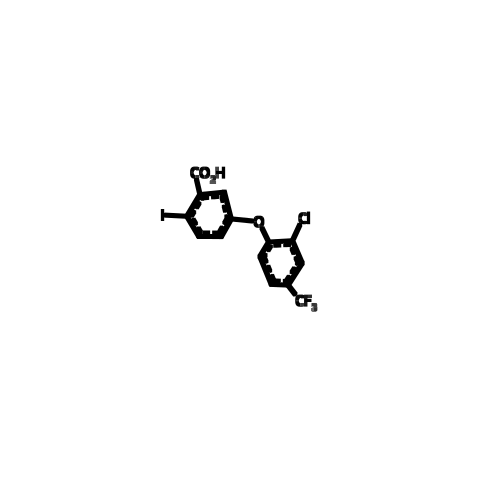 O=C(O)c1cc(Oc2ccc(C(F)(F)F)cc2Cl)ccc1I